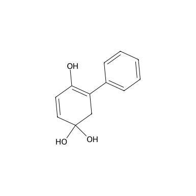 OC1=C(c2ccccc2)CC(O)(O)C=C1